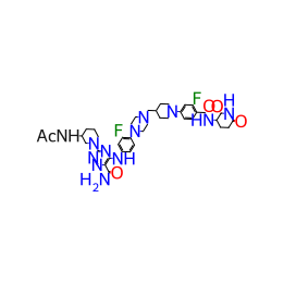 CC(=O)NC1CCCN(c2nnc(C(N)=O)c(Nc3ccc(N4CCN(CC5CCN(c6ccc(C(=O)NC7CCC(=O)NC7=O)c(F)c6)CC5)CC4)c(F)c3)n2)C1